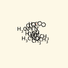 CNC(=O)N1C[C@H](NC(=O)[C@H](C)N(C)C(=O)OC(C)(C)C)C(=O)N(Cc2c(C)ccc3ccccc23)c2ccccc21